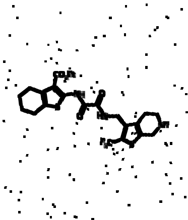 CCOC(=O)c1c(NC(=O)C(=O)NCc2c(C(F)(F)F)sc3c2CCNC3)sc2c1CCCC2